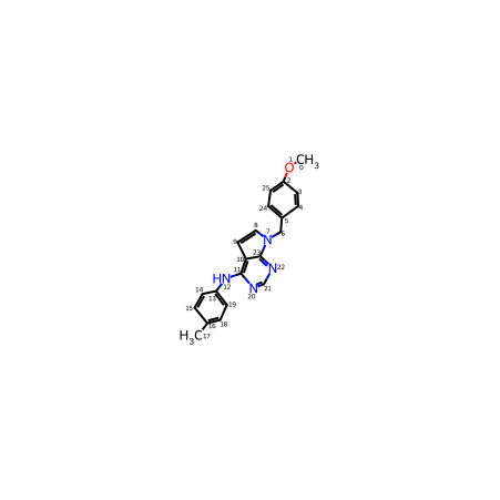 COc1ccc(Cn2ccc3c(Nc4ccc(C)cc4)ncnc32)cc1